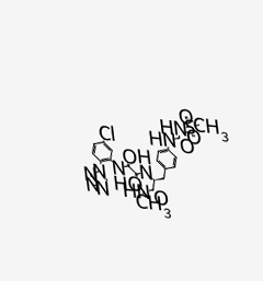 CNC(=O)[C@H](Cc1ccc(NC(=O)NS(C)(=O)=O)cc1)NC(=O)C(=O)Nc1cc(Cl)ccc1-n1cnnn1